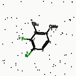 COc1ccc(Br)c(F)c1C(C)(C)C